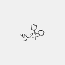 CCC(N)CO[Si](c1ccccc1)(c1ccccc1)C(C)(C)C